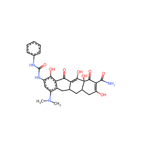 CN(C)c1cc(NC(=O)Nc2ccccc2)c(O)c2c1CC1CC3CC(O)=C(C(N)=O)C(=O)[C@@]3(O)C(O)=C1C2=O